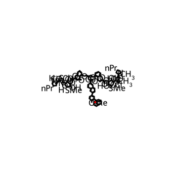 CCCC1CC(C(=O)NC(C(C)Cl)C2OC(SC)C(O)C(OC(=O)c3cc(=O)c4c(OCC(COc5cccc6oc(C(=O)OC7C(O)C(SC)OC(C(NC(=O)C8CC(CCC)CN8C)C(C)Cl)C7O)cc(=O)c56)OC(=O)c5ccc6cc(-c7ccc(OC)c(C89CC%10CC(CC(C%10)C8)C9)c7)ccc6c5)cccc4o3)C2O)N(C)C1